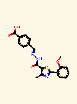 COc1ccccc1-c1nc(C)c(C(=O)N/N=C/c2ccc(C(=O)O)cc2)s1